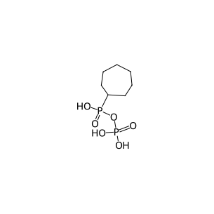 O=P(O)(O)OP(=O)(O)C1CCCCCC1